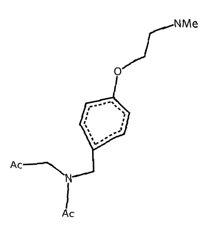 CNCCOc1ccc(CN(CC(C)=O)C(C)=O)cc1